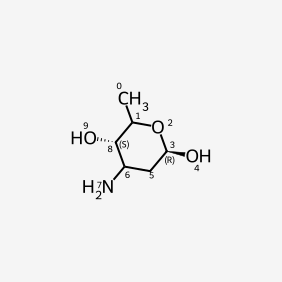 CC1O[C@@H](O)CC(N)[C@@H]1O